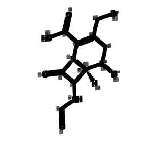 O=CNC1C(=O)N2C(C(=O)O)=C(CBr)C[S+]([O-])[C@@H]12